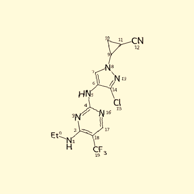 CCNc1nc(Nc2cn(C3CC3C#N)nc2Cl)ncc1C(F)(F)F